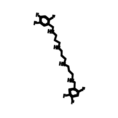 Fc1cc(F)c(CNCCCNCCCNCCCNCc2cc(F)c(F)cc2F)cc1F